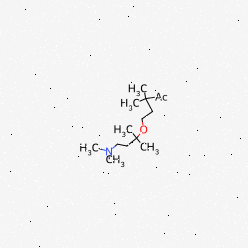 CC(=O)C(C)(C)CCOC(C)(C)CCN(C)C